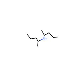 CCCC(C)NC(C)CCC